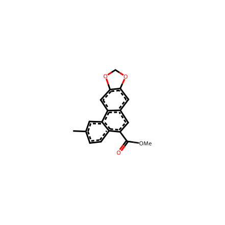 COC(=O)c1cc2cc3c(cc2c2cc(C)ccc12)OCO3